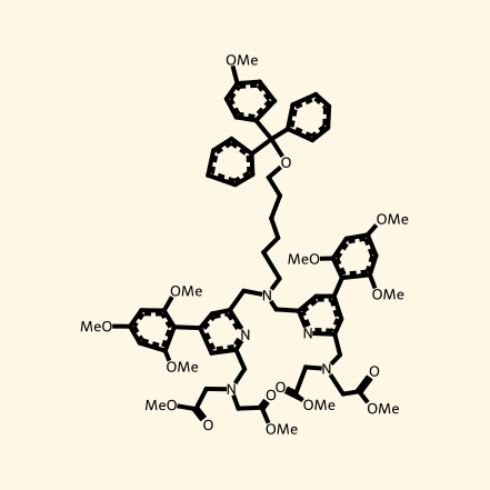 COC(=O)CN(CC(=O)OC)Cc1cc(-c2c(OC)cc(OC)cc2OC)cc(CN(CCCCCCOC(c2ccccc2)(c2ccccc2)c2ccc(OC)cc2)Cc2cc(-c3c(OC)cc(OC)cc3OC)cc(CN(CC(=O)OC)CC(=O)OC)n2)n1